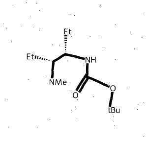 CC[C@H](NC(=O)OC(C)(C)C)[C@@H](CC)NC